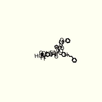 O=C(N[C@@H](CC1CCN(CCCc2ccccc2)CC1)C(=O)N1CCC[C@H]1C(=O)N1CCO[C@H](c2ccccc2)C1)c1cc2cc(C(F)(F)P(=O)(O)O)ccc2s1